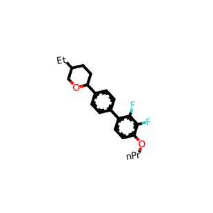 CCCOc1ccc(-c2ccc(C3CCC(CC)CO3)cc2)c(F)c1F